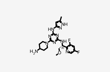 COC[C@H](Nc1nc(Nc2cc(C)[nH]n2)nc(N2CCC(N)CC2)n1)c1ncc(F)cc1F